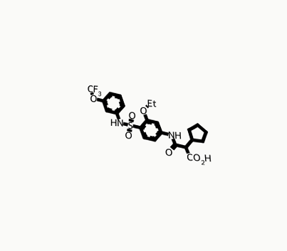 CCOc1cc(NC(=O)C(C(=O)O)C2CCCC2)ccc1S(=O)(=O)Nc1cccc(OC(F)(F)F)c1